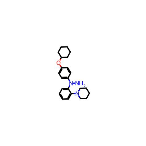 NN(c1ccc(OC2CCCCC2)cc1)c1ccccc1N1CCCCC1